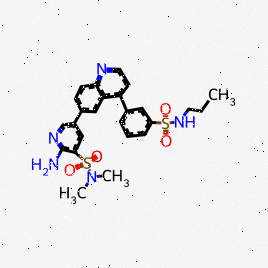 CCCNS(=O)(=O)c1cccc(-c2ccnc3ccc(-c4cnc(N)c(S(=O)(=O)N(C)C)c4)cc23)c1